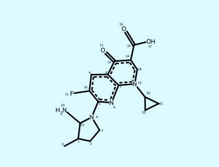 CC1CCN(c2nc3c(cc2F)c(=O)c(C(=O)O)cn3C2CC2)C1N